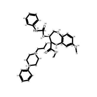 COC(=O)[C@]1(CCCN2CCN(c3ccccc3)CC2)Sc2cc(OC)ccc2OC[C@@H]1OC(=O)Nc1ccccc1